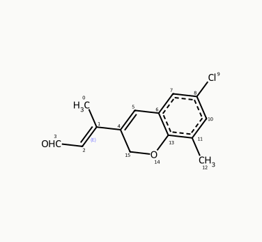 C/C(=C\C=O)C1=Cc2cc(Cl)cc(C)c2OC1